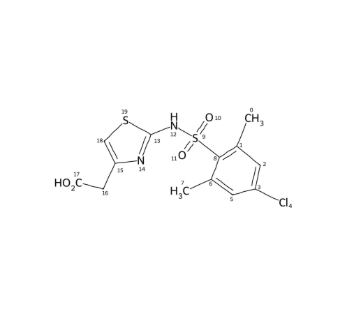 Cc1cc(Cl)cc(C)c1S(=O)(=O)Nc1nc(CC(=O)O)cs1